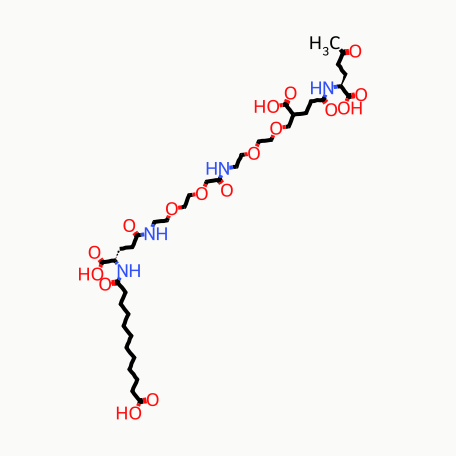 CC(=O)CC[C@H](NC(=O)CCC(COCCOCCNC(=O)COCCOCCNC(=O)CC[C@H](NC(=O)CCCCCCCCCCC(=O)O)C(=O)O)C(=O)O)C(=O)O